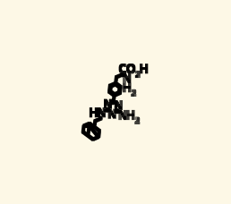 Nc1nc(NCCC23CC4CC(CC(C4)C2)C3)nc(-c2ccc(C[C@H](N)C(=O)O)cc2)n1